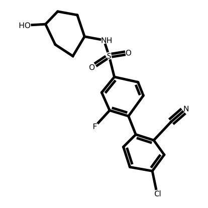 N#Cc1cc(Cl)ccc1-c1ccc(S(=O)(=O)NC2CCC(O)CC2)cc1F